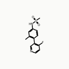 Cc1cc(NS(C)(=O)=O)ccc1-c1cnccc1F